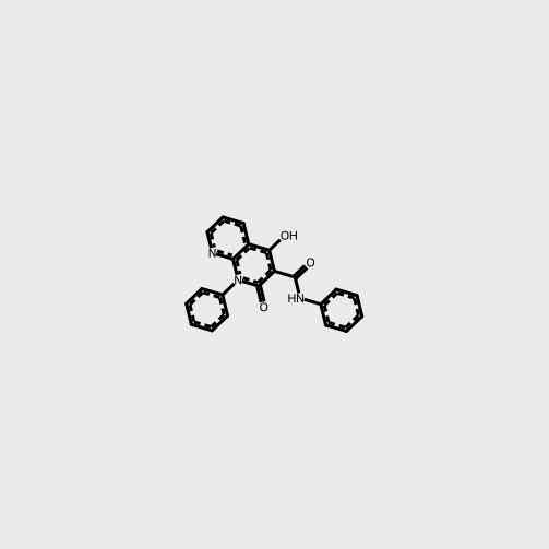 O=C(Nc1ccccc1)c1c(O)c2cccnc2n(-c2ccccc2)c1=O